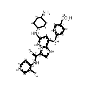 N[C@H]1CC[C@H](Nc2cc(Nc3ccc(C(=O)O)cn3)c3ncc(C(=O)Nc4ccncc4F)n3n2)CC1